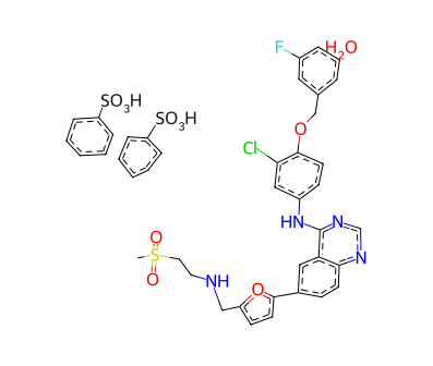 CS(=O)(=O)CCNCc1ccc(-c2ccc3ncnc(Nc4ccc(OCc5cccc(F)c5)c(Cl)c4)c3c2)o1.O.O=S(=O)(O)c1ccccc1.O=S(=O)(O)c1ccccc1